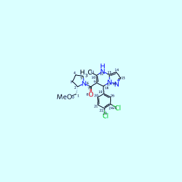 COC[C@@H]1CCCN1C(=O)C1=C(C)Nc2ccnn2C1c1ccc(Cl)c(Cl)c1